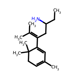 CCC(N)CC(C1=CC(C)=CCC1(C)C)=C(C)C